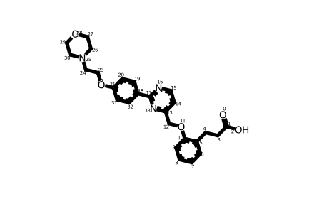 O=C(O)CCc1ccccc1OCc1ccnc(-c2ccc(OCCN3CCOCC3)cc2)n1